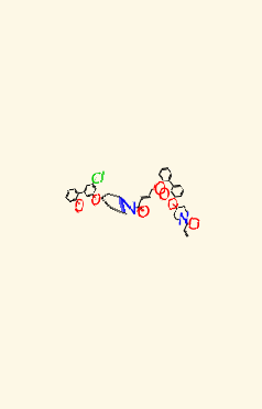 C=CC(=O)N1CCC(Oc2cccc(-c3ccccc3OC/C=C/C(=O)N3CCC(Oc4cc(Cl)cc(-c5ccccc5OC)c4)CC3)c2OC)CC1